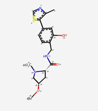 Cc1ncsc1-c1ccc(CNC(=O)[C@@H]2C[C@@H](OC(C)(C)C)CN2C(=O)O)c(O)c1